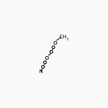 CCCCC[C@H]1CC[C@H](c2ccc(-c3ccc(/C=C/[C@H]4CC[C@H](c5ccc(-c6ccc(C#N)cc6)cc5)CC4)cc3)cc2)CC1